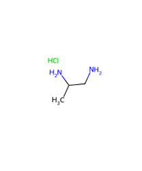 CC(N)CN.Cl